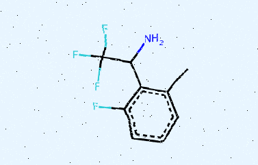 Cc1cccc(F)c1C(N)C(F)(F)F